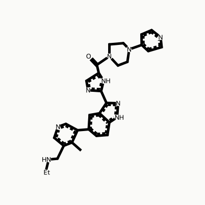 CCNCc1cncc(-c2ccc3[nH]nc(-c4ncc(C(=O)N5CCN(c6ccncc6)CC5)[nH]4)c3c2)c1C